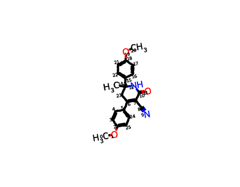 COc1ccc(C2=C(C#N)C(=O)NC(C)(c3ccc(OC)cc3)C2)cc1